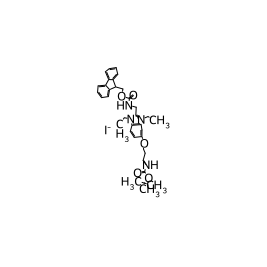 CCn1c(CNC(=O)OCC2c3ccccc3-c3ccccc32)[n+](CC)c2ccc(OCCCNC(=O)OC(C)(C)C)cc21.[I-]